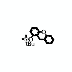 CC(C)(C)[Si](C)(C)Oc1cccc2c1Cc1ccccc1O2